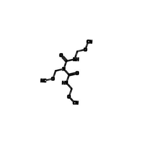 N#COCNC(=O)N(COC#N)C(=O)NCOC#N